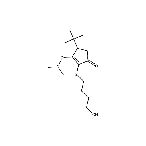 C[SiH](C)OC1=C(SCCCCO)C(=O)CC1C(C)(C)C